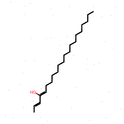 CC=CC(O)=CCCCCCCCCCCCCCCCC